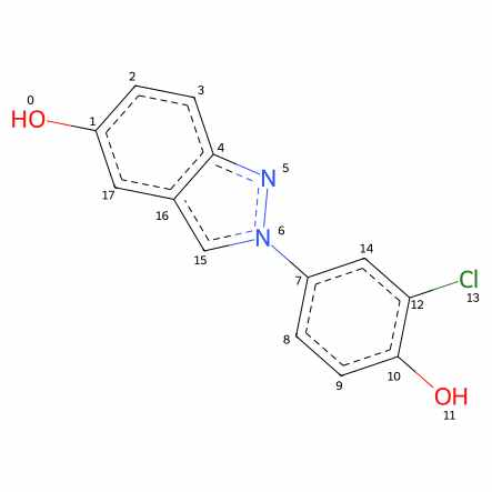 Oc1ccc2nn(-c3ccc(O)c(Cl)c3)cc2c1